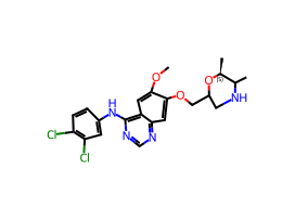 COc1cc2c(Nc3ccc(Cl)c(Cl)c3)ncnc2cc1OCC1CNC(C)[C@H](C)O1